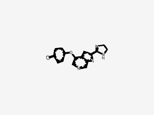 Clc1ccc(Oc2cncc3sc(C4=NCCN4)cc23)cc1